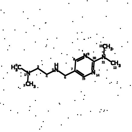 CN(C)CCNCc1cnc(N(C)C)nc1